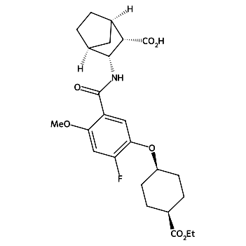 CCOC(=O)[C@H]1CC[C@@H](Oc2cc(C(=O)N[C@@H]3[C@H]4CC[C@H](C4)[C@@H]3C(=O)O)c(OC)cc2F)CC1